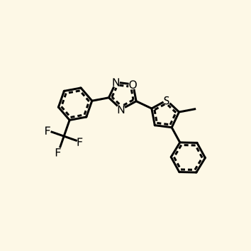 Cc1sc(-c2nc(-c3cccc(C(F)(F)F)c3)no2)cc1-c1ccccc1